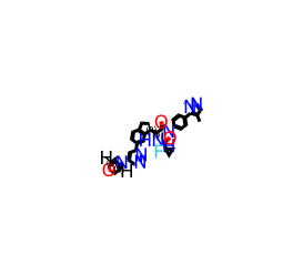 Cc1cnn(C)c1-c1ccc(NC(=O)[C@@H](NC(=O)C2(F)CC2)[C@@H]2CCc3ccc(-c4cc(N5C[C@@H]6C[C@H]5CO6)cnn4)cc32)cc1